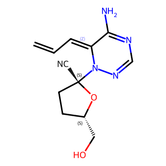 C=C/C=C1/C(N)=NC=NN1[C@@]1(C#N)CC[C@@H](CO)O1